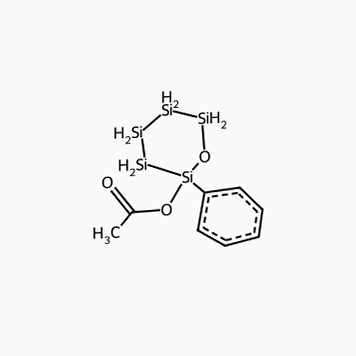 CC(=O)O[Si]1(c2ccccc2)O[SiH2][SiH2][SiH2][SiH2]1